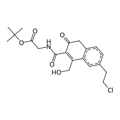 CC(C)(C)OC(=O)CNC(=O)C1=C(CO)c2cc(CCCl)ccc2CC1=O